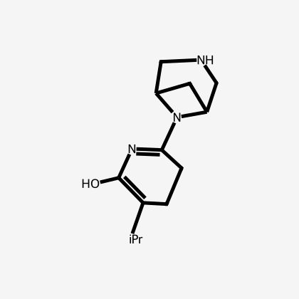 CC(C)C1=C(O)N=C(N2C3CNCC2C3)CC1